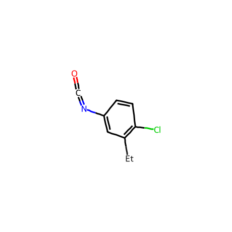 CCc1cc(N=C=O)ccc1Cl